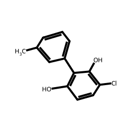 Cc1cccc(-c2c(O)ccc(Cl)c2O)c1